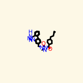 C#CCCC1CCC(C(=O)n2ncn(Cc3ccc(-c4ccccc4-c4nnn[nH]4)cc3)c2=O)CC1